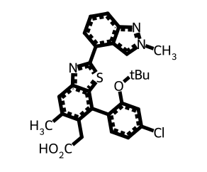 Cc1cc2nc(-c3cccc4nn(C)cc34)sc2c(-c2ccc(Cl)cc2OC(C)(C)C)c1CC(=O)O